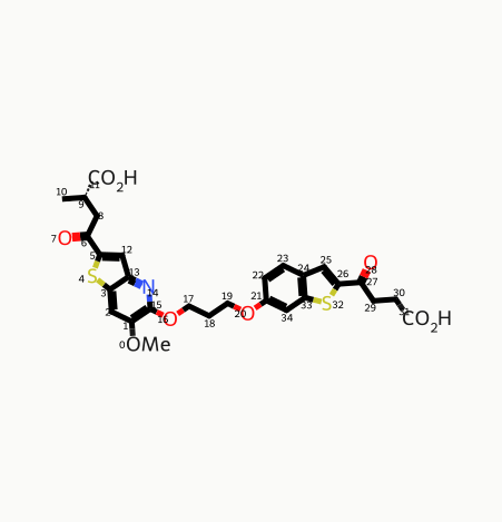 COc1cc2sc(C(=O)C[C@H](C)C(=O)O)cc2nc1OCCCOc1ccc2cc(C(=O)CCC(=O)O)sc2c1